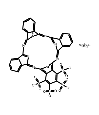 O=S(=O)([O-])c1c(S(=O)(=O)[O-])c(S(=O)(=O)[O-])c2c3nc4nc(nc5[nH]c(nc6nc(nc([nH]3)c2c1S(=O)(=O)[O-])-c1ccccc1-6)c1ccccc51)-c1ccccc1-4.[Mg+2].[Mg+2]